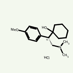 COc1ccc([C@@H](CN(C)C)C2(O)CCCCC2)cc1.Cl